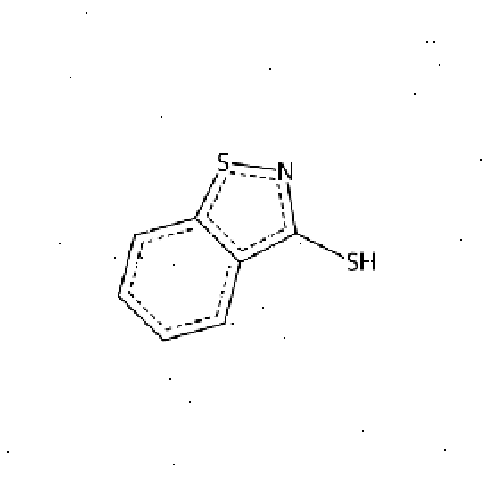 Sc1nsc2ccc[c]c12